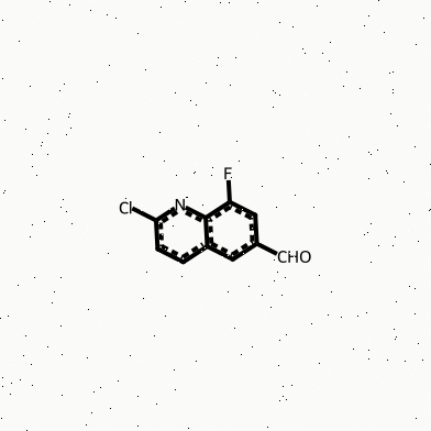 O=Cc1cc(F)c2nc(Cl)ccc2c1